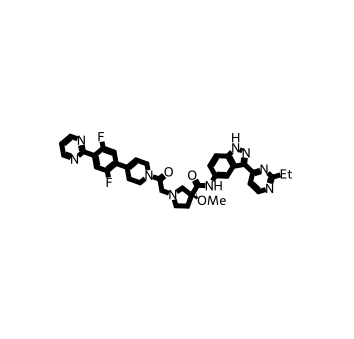 CCc1nccc(-c2n[nH]c3ccc(NC(=O)[C@]4(OC)CCN(CC(=O)N5CC=C(c6cc(F)c(-c7ncccn7)cc6F)CC5)C4)cc23)n1